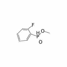 CO[PH](=O)c1ccccc1F